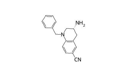 N#Cc1ccc2c(c1)C[C@@H](N)CN2Cc1ccccc1